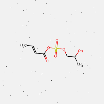 CC=CC(=O)OS(=O)(=O)OCC(C)O